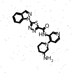 N[C@H]1CCCN(c2ccncc2NC(=O)c2nnc(-n3ncc4ccccc43)s2)C1